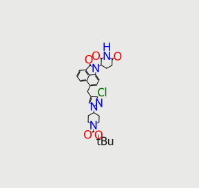 CC(C)(C)OC(=O)N1CCC(n2cc(Cc3ccc4c5c(cccc35)C(=O)N4C3CCC(=O)NC3=O)c(Cl)n2)CC1